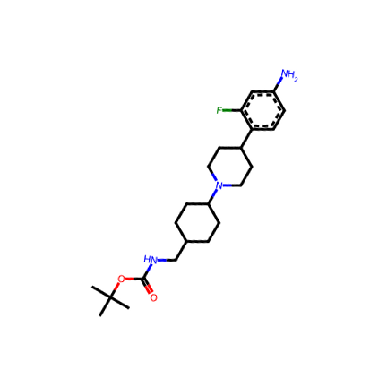 CC(C)(C)OC(=O)NCC1CCC(N2CCC(c3ccc(N)cc3F)CC2)CC1